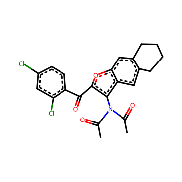 CC(=O)N(C(C)=O)c1c(C(=O)c2ccc(Cl)cc2Cl)oc2cc3c(cc12)CCCC3